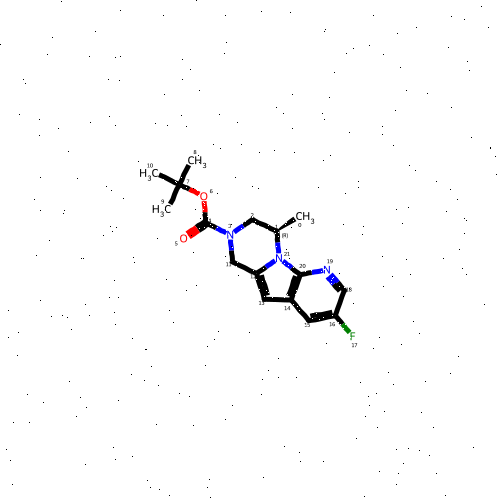 C[C@@H]1CN(C(=O)OC(C)(C)C)Cc2cc3cc(F)cnc3n21